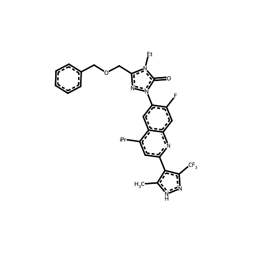 CCn1c(COCc2ccccc2)nn(-c2cc3c(C(C)C)cc(-c4c(C(F)(F)F)n[nH]c4C)nc3cc2F)c1=O